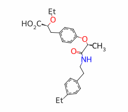 CCO[C@@H](Cc1ccc(O[C@@H](C)C(=O)NCCc2ccc(CC)cc2)cc1)C(=O)O